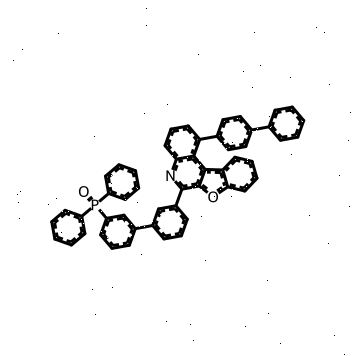 O=P(c1ccccc1)(c1ccccc1)c1cccc(-c2cccc(-c3nc4cccc(-c5ccc(-c6ccccc6)cc5)c4c4c3oc3ccccc34)c2)c1